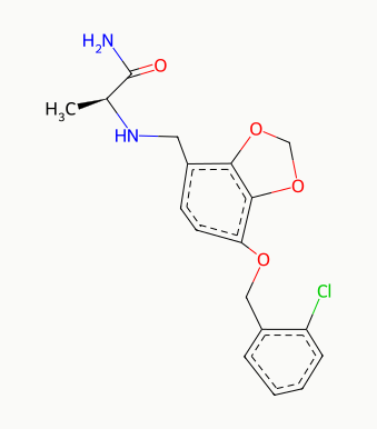 C[C@H](NCc1ccc(OCc2ccccc2Cl)c2c1OCO2)C(N)=O